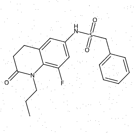 CCCN1C(=O)CCc2cc(NS(=O)(=O)Cc3ccccc3)cc(F)c21